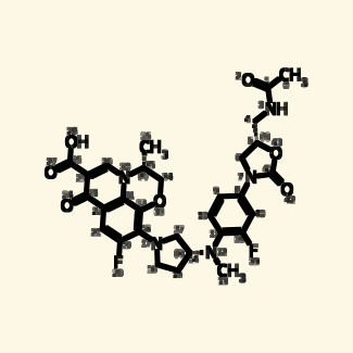 CC(=O)NC[C@H]1CN(c2ccc(N(C)[C@@H]3CCN(c4c(F)cc5c(=O)c(C(=O)O)cn6c5c4OC[C@H]6C)C3)c(F)c2)C(=O)O1